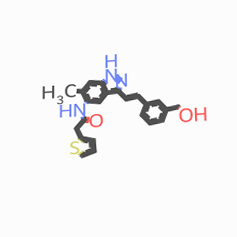 Cc1cc2[nH]nc(/C=C/c3cccc(CO)c3)c2cc1NC(=O)Cc1cccs1